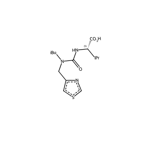 CCC(C)N(Cc1cscn1)C(=O)N[C@H](C(=O)O)C(C)C